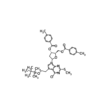 CSc1nc(Cl)c2c(CCO[Si](C)(C)C(C)(C)C)cn(C3C[C@H](OC(=O)c4ccc(C)cc4)[C@@H](COC(=O)c4ccc(C)cc4)O3)c2n1